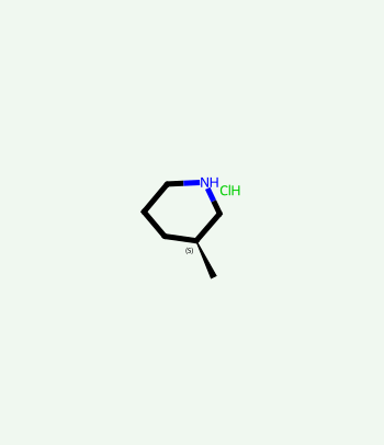 C[C@H]1CCCNC1.Cl